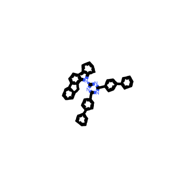 c1ccc(-c2ccc(-c3nc(-c4ccc(-c5ccccc5)cc4)nc(-n4c5ccccc5c5ccc6c(c54)Cc4ccccc4-6)n3)cc2)cc1